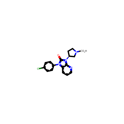 O=C(O)N1CC[C@H](n2c(=O)n(-c3ccc(Cl)cc3)c3cccnc32)C1